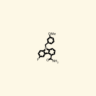 COc1cccc(Cn2c3ccc(F)[c]c3c3c(C(N)=O)cccc32)c1